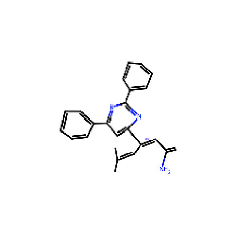 C=C(N)/C=C(\C=C(C)C)c1cc(-c2ccccc2)nc(-c2ccccc2)n1